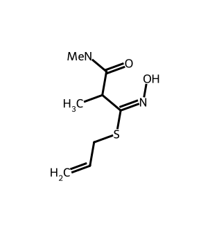 C=CCS/C(=N/O)C(C)C(=O)NC